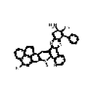 N#CC1=C(c2ccccc2)c2nc3c(nc2=CC1N)c1c(c2ncccc23)N(Br)c2cc3cc(Br)c4cccc5ccc(c2C=1)c3c54